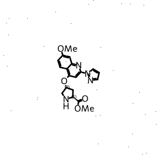 COC(=O)[C@@H]1C[C@@H](Oc2cc(-n3cccn3)nc3cc(OC)ccc23)CN1